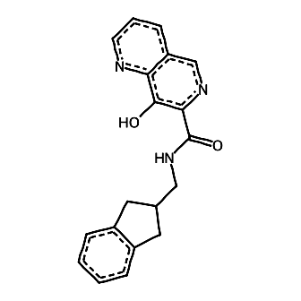 O=C(NCC1Cc2ccccc2C1)c1ncc2cccnc2c1O